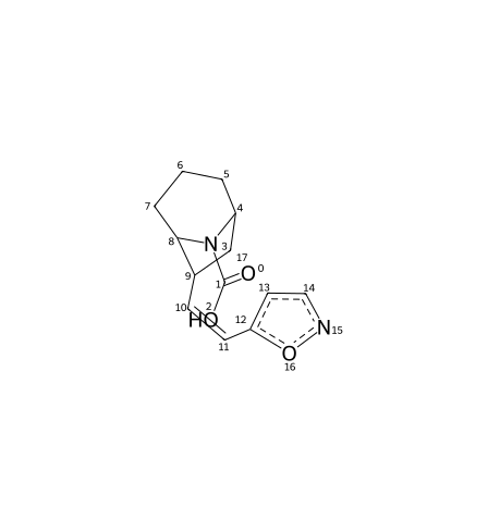 O=C(O)N1C2CCCC1C(/C=C\c1ccno1)C2